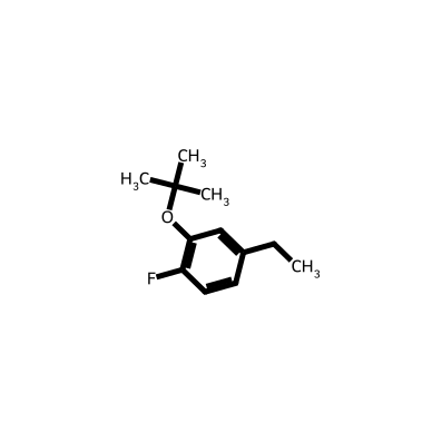 CCc1ccc(F)c(OC(C)(C)C)c1